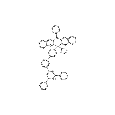 C1=CC2c3cc(-c4cccc(C5=CC(c6ccccc6)NC(c6ccccc6)=N5)c4)ccc3C3(c4cc5ccccc5cc4N(c4ccccc4)c4cc5ccccc5cc43)C2C=C1